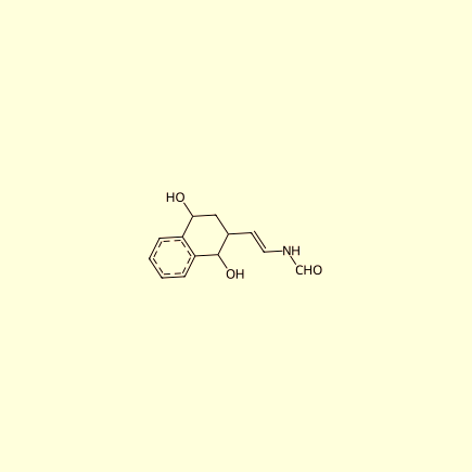 O=CNC=CC1CC(O)c2ccccc2C1O